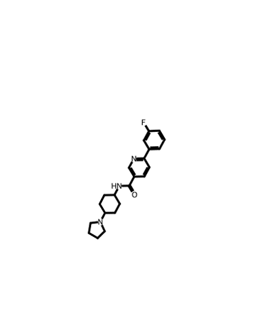 O=C(NC1CCC(N2CCCC2)CC1)c1ccc(-c2cccc(F)c2)nc1